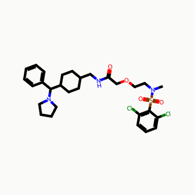 CN(CCOCC(=O)NCC1CCC(C(c2ccccc2)N2CCCC2)CC1)S(=O)(=O)c1c(Cl)cccc1Cl